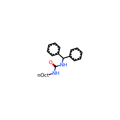 CCCCCCCCNC(=O)NC(c1ccccc1)c1ccccc1